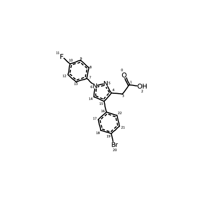 O=C(O)Cc1nn(-c2ccc(F)cc2)cc1-c1ccc(Br)cc1